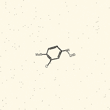 COc1ccc(N[C]=O)cc1Cl